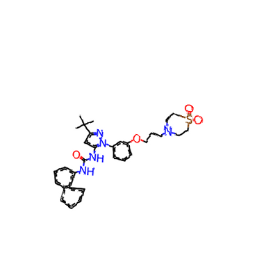 CC(C)(C)c1cc(NC(=O)Nc2cccc3ccccc23)n(-c2cccc(OCCCN3CCS(=O)(=O)CC3)c2)n1